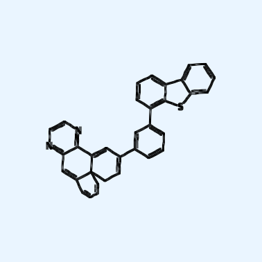 C1=CC2=Cc3nccnc3C3=CC(c4cccc(-c5cccc6c5sc5ccccc56)c4)=CCC23C=C1